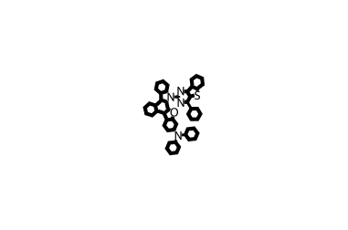 c1ccc(-c2nc(-n3c4ccccc4c4c5ccccc5c5c6ccc(N(c7ccccc7)c7ccccc7)cc6oc5c43)nc3c2sc2ccccc23)cc1